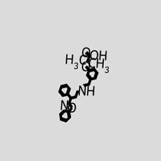 CC(C)(Oc1cccc(CCNCCC(c2ccccc2)c2nc3ccccc3o2)c1)C(=O)O